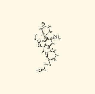 C=COOCCC1=CC(CCCO)=CCC=C1c1ccc(C2C=CC(C)CC2)c(P)c1